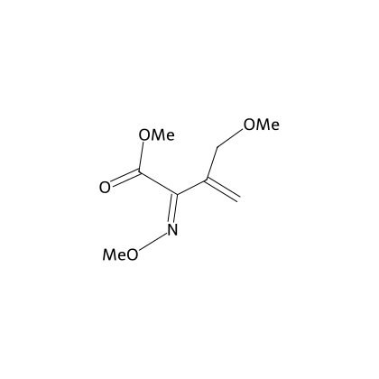 C=C(COC)/C(=N/OC)C(=O)OC